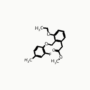 CCOc1cccc(CC(=O)OC)c1COc1ccc(C)cc1F